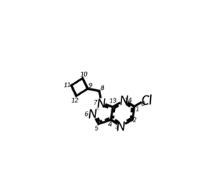 Clc1cnc2cnn(CC3CCC3)c2n1